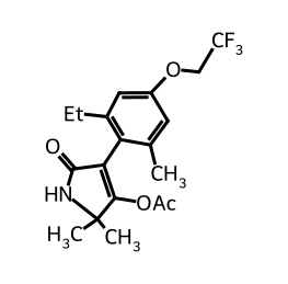 CCc1cc(OCC(F)(F)F)cc(C)c1C1=C(OC(C)=O)C(C)(C)NC1=O